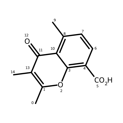 Cc1oc2c(C(=O)O)ccc(C)c2c(=O)c1C